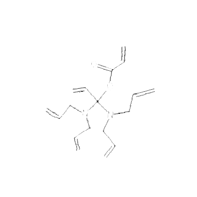 C=CCN(CC=C)C(C=C)(OC(=O)C=C)N(CC=C)CC=C